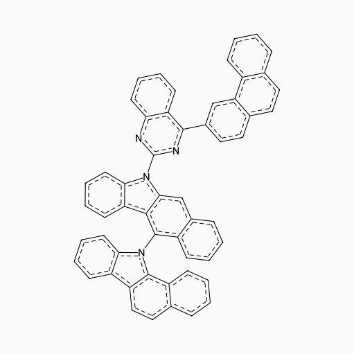 c1ccc2c(-n3c4ccccc4c4ccc5ccccc5c43)c3c4ccccc4n(-c4nc(-c5ccc6ccc7ccccc7c6c5)c5ccccc5n4)c3cc2c1